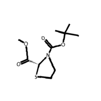 COC(=O)[C@H]1SCCN1C(=O)OC(C)(C)C